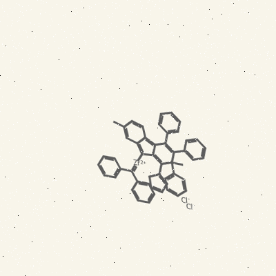 Cc1ccc2c(c1)=[C]([Zr+2]=[C](c1ccccc1)c1ccccc1)C1=C(C3=CC=CC3)C(C)(c3ccccc3)C(c3ccccc3)=C(c3ccccc3)C=21.[Cl-].[Cl-]